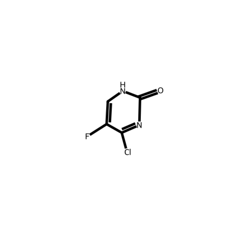 O=c1nc(Cl)c(F)c[nH]1